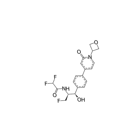 O=C(N[C@H](CF)[C@H](O)c1ccc(-c2ccn(C3COC3)c(=O)c2)cc1)C(F)F